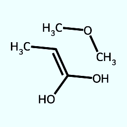 CC=C(O)O.COC